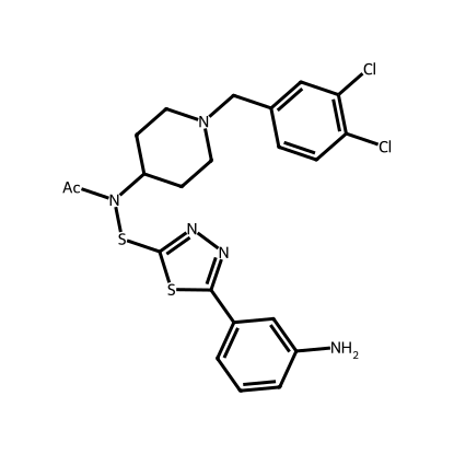 CC(=O)N(Sc1nnc(-c2cccc(N)c2)s1)C1CCN(Cc2ccc(Cl)c(Cl)c2)CC1